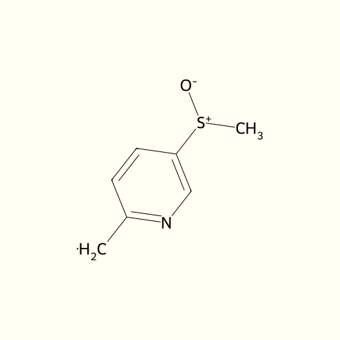 [CH2]c1ccc([S+](C)[O-])cn1